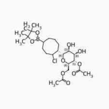 CC(=O)OC[C@H]1O[C@H](C2CCCC(B3OC(C)(C)C(C)(C)O3)CCC2Cl)[C@@H](O)[C@@H](O)[C@@H]1OC(C)=O